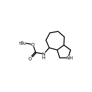 CC(C)(C)OC(=O)NC1CCCCC2CNCC21